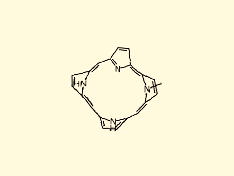 Cn1c2ccc1c1nc(cc3ccc(cc4ccc(c2)[nH]4)[nH]3)C=C1